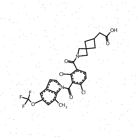 Cc1cc(OC(F)(F)F)cc2ccn(C(=O)c3c(Cl)ccc(C(=O)N4CC5(CC(CC(=O)O)C5)C4)c3Cl)c12